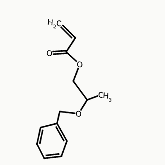 C=CC(=O)OCC(C)OCc1ccccc1